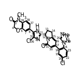 CN1C(=O)COc2cc(-c3[nH]c([C@@H]4CCc5cc(-c6cc(Cl)ccc6-n6cnnn6)cc(=O)n54)nc3Cl)ccc21